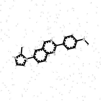 COc1ccc(-c2ncc3cc(-n4ccnc4C)ccc3n2)cc1